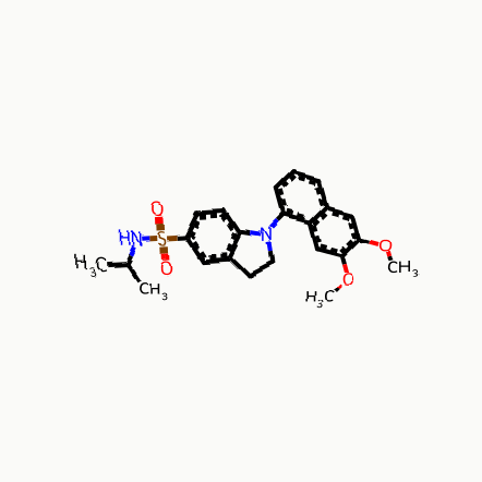 COc1cc2cccc(N3CCc4cc(S(=O)(=O)NC(C)C)ccc43)c2cc1OC